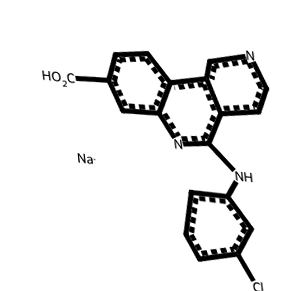 O=C(O)c1ccc2c(c1)nc(Nc1cccc(Cl)c1)c1ccncc12.[Na]